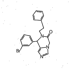 O=C1Cn2cncc2C(c2cccc(Br)c2)N1CCc1ccccc1